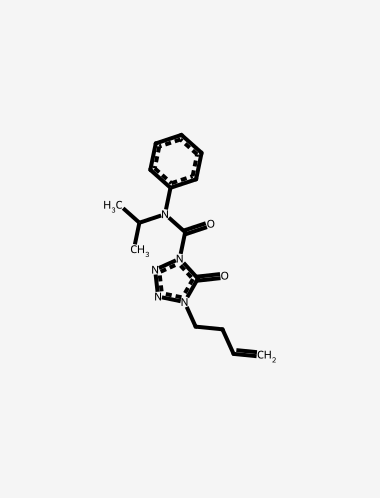 C=CCCn1nnn(C(=O)N(c2ccccc2)C(C)C)c1=O